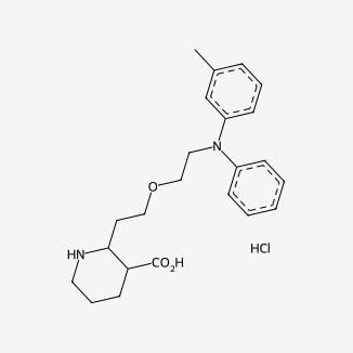 Cc1cccc(N(CCOCCC2NCCCC2C(=O)O)c2ccccc2)c1.Cl